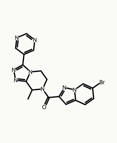 CC1c2nnc(-c3cncnc3)n2CCN1C(=O)c1cc2ccc(Br)cn2n1